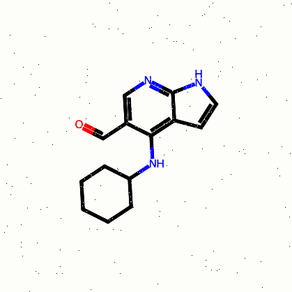 O=Cc1cnc2[nH]ccc2c1NC1CCCCC1